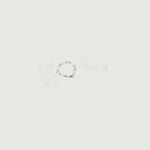 CCOc1ccc(S(F)(F)(F)(F)F)cc1